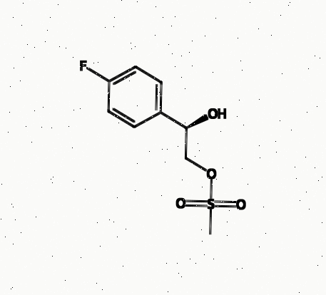 CS(=O)(=O)OC[C@H](O)c1ccc(F)cc1